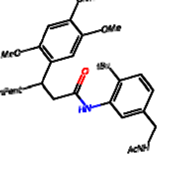 CCCCCC(CC(=O)Nc1cc(CNC(C)=O)ccc1C(C)(C)C)c1cc(OC)c(OC)cc1OC